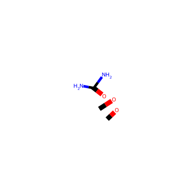 C=O.C=O.NC(N)=O